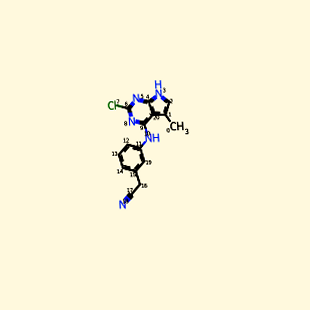 Cc1c[nH]c2nc(Cl)nc(Nc3cccc(CC#N)c3)c12